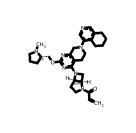 C=CC(=O)N1CC[C@@H]2[C@H]1CN2c1nc(OC[C@@H]2CCCN2C)nc2c1CCN(c1cncc3c1CCCC3)C2